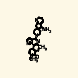 Cc1nc(N2CCC3(CC2)Cc2ncccc2[C@H]3N)c2ccnn2c1-c1ccn(C)c(=O)c1F